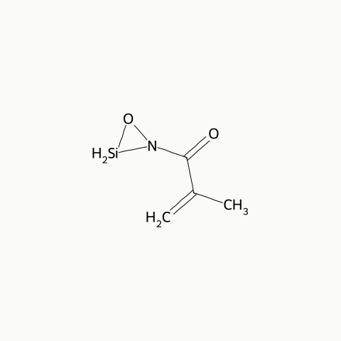 C=C(C)C(=O)N1O[SiH2]1